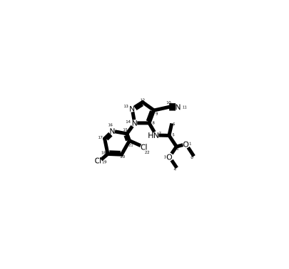 COC(OC)C(C)Nc1c(C#N)cnn1-c1ncc(Cl)cc1Cl